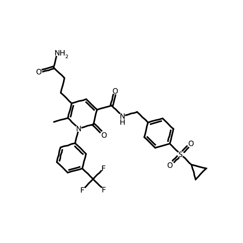 Cc1c(CCC(N)=O)cc(C(=O)NCc2ccc(S(=O)(=O)C3CC3)cc2)c(=O)n1-c1cccc(C(F)(F)F)c1